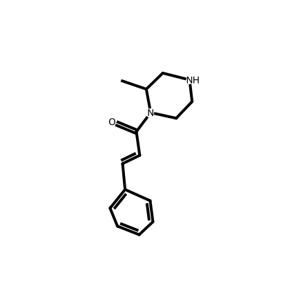 CC1CNCCN1C(=O)C=Cc1ccccc1